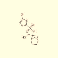 O=S(=O)(NC1(CO)CC2CCC1C2)c1ccc(Cl)s1